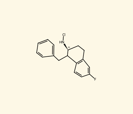 Fc1ccc2c(c1)CC[C@H](NCl)C2Cc1ccccc1